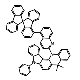 CC1(C)c2ccccc2N(c2ccc3c(-c4cccc5c4-c4ccccc4C54c5ccccc5-c5ccccc54)cccc3n2)c2c1ccc1c2c2ccccc2n1-c1ccccc1